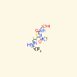 Cc1cc(NC(C)(C)CC(F)(F)F)ncc1-c1sc(C(=O)NCC(C)(C)O)nc1C(=O)N1CCC[C@@H]1C